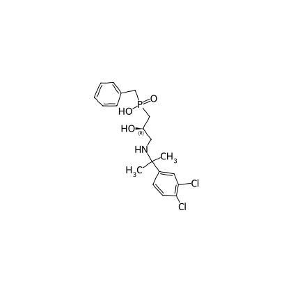 CC(C)(NC[C@@H](O)CP(=O)(O)Cc1ccccc1)c1ccc(Cl)c(Cl)c1